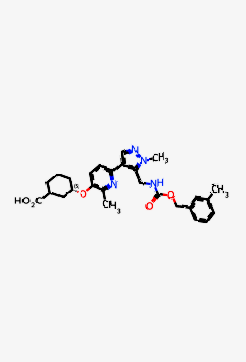 Cc1cccc(COC(=O)NCc2c(-c3ccc(O[C@H]4CCCC(C(=O)O)C4)c(C)n3)cnn2C)c1